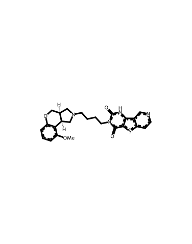 COc1cccc2c1[C@@H]1CN(CCCCn3c(=O)[nH]c4c(sc5ccncc54)c3=O)C[C@@H]1CO2